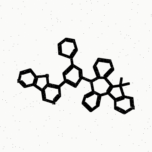 CC1(C)C2=C(c3ccccc3N(c3cc(-c4ccccc4)cc(-c4cncc5c4oc4ccncc45)c3)c3ccccc32)c2ccncc21